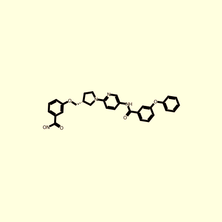 O=NC(=O)c1cccc(OC[C@@H]2CCN(c3ccc(NC(=O)c4cccc(Oc5ccccc5)c4)cn3)C2)c1